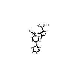 Cc1snc(C(=O)O)c1NC1(C#N)C=CC(c2ccccc2)=CC1